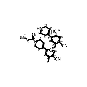 Cc1cc(C2=CCN(C(=O)OC(C)(C)C)CC2)ccc1C#N.Cc1cc(C2=CCNCC2)ccc1C#N.Cl